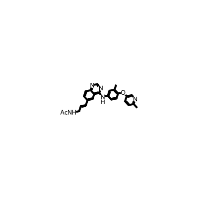 CC(=O)NC/C=C/c1ccc2ncnc(Nc3ccc(Oc4ccc(C)nc4)c(C)c3)c2c1